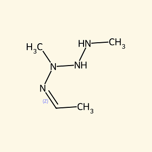 C/C=N\N(C)NNC